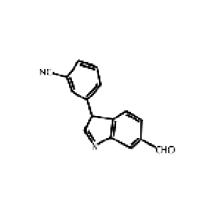 N#Cc1cccc(C2C=Nc3cc(C=O)ccc32)c1